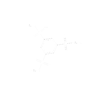 CCCCCCCCCS(=O)(=O)c1cc(S(=O)(=O)CCCCCCCCC)cc(S(=O)(=O)CCCCCCCCC)c1